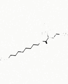 CCCCCCCCCCCCCCCCCCOC(=O)[C@H](CCSC)N[Se]C(C)=O